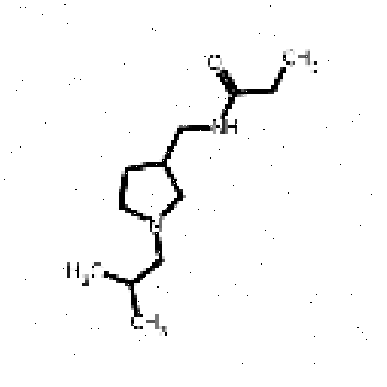 CCC(=O)NCC1CCN(CC(C)C)C1